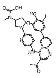 CC(=O)c1cnc2ccc(-c3cc(F)c(O)c(Cl)c3)cc2c1Nc1ccc(N2CCC(N(C)C(=O)O)C2)nc1